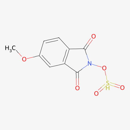 COc1ccc2c(c1)C(=O)N(O[SH](=O)=O)C2=O